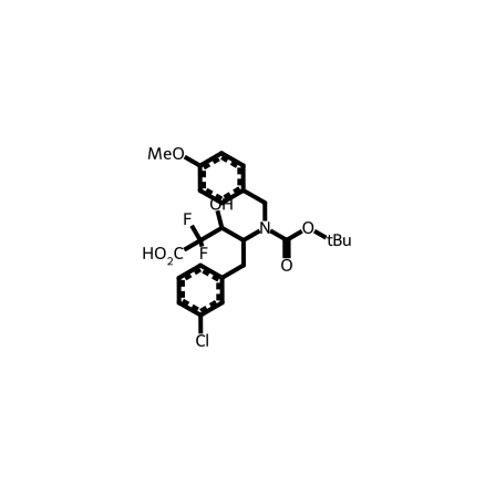 COc1ccc(CN(C(=O)OC(C)(C)C)C(Cc2cccc(Cl)c2)C(O)C(F)(F)C(=O)O)cc1